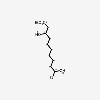 CCOC(=O)CC(O)CCCCCCC(O)CC